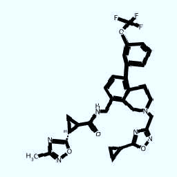 Cc1noc([C@@H]2CC2C(=O)NCc2ccc(-c3cccc(OC(F)(F)F)c3)c3c2CN(Cc2noc(C4CC4)n2)CC3)n1